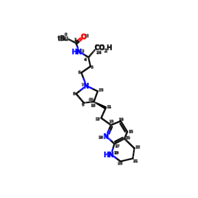 CC(C)(C)C(=O)NC(CCN1CC[C@H](CCc2ccc3c(n2)NCCC3)C1)C(=O)O